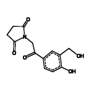 O=C(CN1C(=O)CCC1=O)c1ccc(O)c(CO)c1